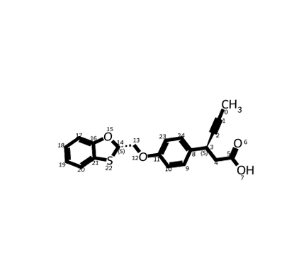 CC#C[C@@H](CC(=O)O)c1ccc(OC[C@H]2Oc3ccccc3S2)cc1